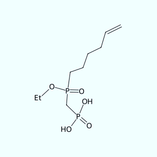 C=CCCCCP(=O)(CP(=O)(O)O)OCC